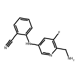 N#Cc1ccccc1Nc1cnc(CN)c(F)c1